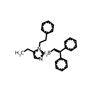 BC=C(c1ccccc1)c1ccccc1.CCc1cncn1CCc1ccccc1